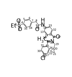 CCS(=O)(=O)c1ccc(CC(=O)Nc2ccc(C(=O)N(CC3CC3)[C@H](C)c3ccc(Cl)cc3)cc2)cc1